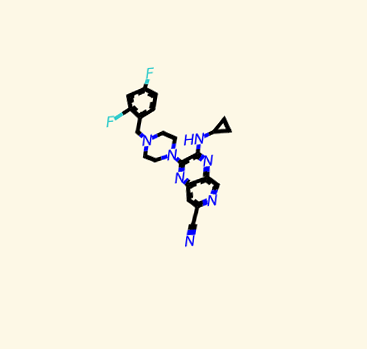 N#Cc1cc2nc(N3CCN(Cc4ccc(F)cc4F)CC3)c(NC3CC3)nc2cn1